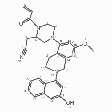 C=CC(=O)N1CCN(c2nc(OC)nc3c2CCN(c2cc(O)cc4ccccc24)C3)CC1CC#N